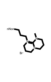 CCCCCCCCCCCC[N+]1=C2N(C)CCCN2CCC1.[Br-]